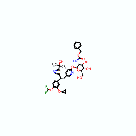 O=C(N[C@H]1[C@H](Oc2ccc(C[C@@H](c3ccc(OC(F)F)c(OC4CC4)c3)c3cnc(C(O)(C(F)(F)F)C(F)(F)F)s3)cn2)O[C@H](CO)[C@@H](O)[C@@H]1O)OCc1ccccc1